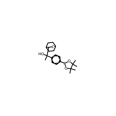 CC(O)(c1ccc(B2OC(C)(C)C(C)(C)O2)cc1)C1CC2CCC1CC2